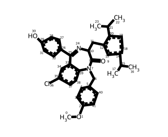 COc1ccc(CN2C(=O)C(Cc3cc(C(C)C)ccc3C(C)C)N=C(c3ccc(O)cc3)c3cc(Cl)ccc32)cc1